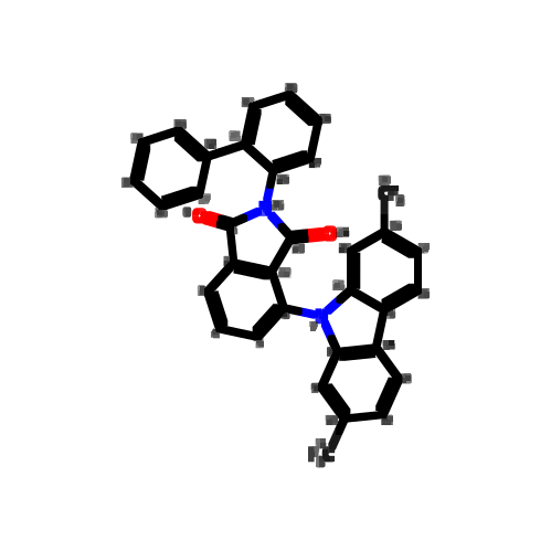 O=C1c2cccc(-n3c4cc(C(F)(F)F)ccc4c4ccc(C(F)(F)F)cc43)c2C(=O)N1c1ccccc1-c1ccccc1